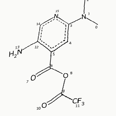 CN(C)c1cc(C(=O)OC(=O)C(F)(F)F)c(N)cn1